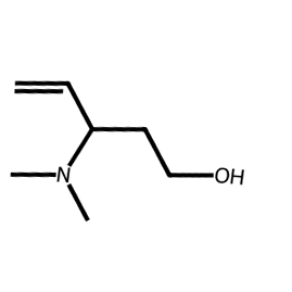 C=CC(CCO)N(C)C